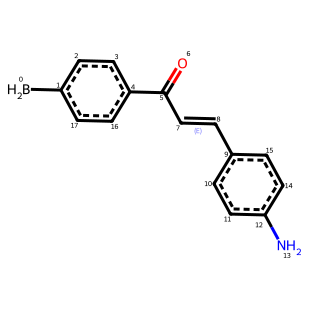 Bc1ccc(C(=O)/C=C/c2ccc(N)cc2)cc1